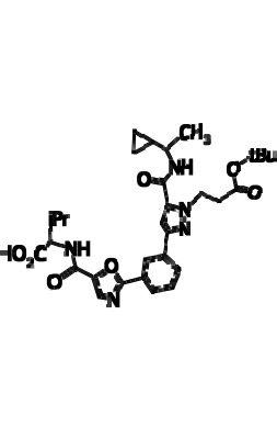 CC(C)C(NC(=O)c1cnc(-c2cccc(-c3cc(C(=O)NC(C)C4CC4)n(CCC(=O)OC(C)(C)C)n3)c2)o1)C(=O)O